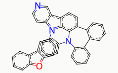 c1ccc(N2c3ccccc3-c3ccccc3-c3ccc4c5cnccc5n(-c5ccc6oc7ccccc7c6c5)c4c32)cc1